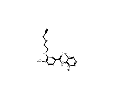 C#CCOCCOc1cc(C(=O)Nc2c(Cl)cncc2Cl)ccc1OC